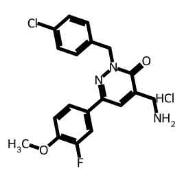 COc1ccc(-c2cc(CN)c(=O)n(Cc3ccc(Cl)cc3)n2)cc1F.Cl